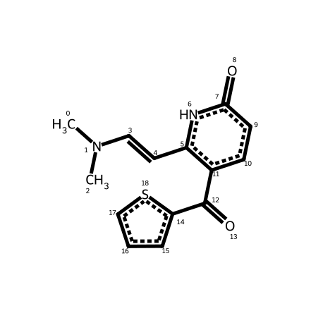 CN(C)/C=C/c1[nH]c(=O)ccc1C(=O)c1cccs1